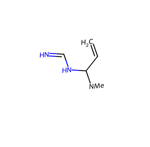 C=CC(NC)NC=N